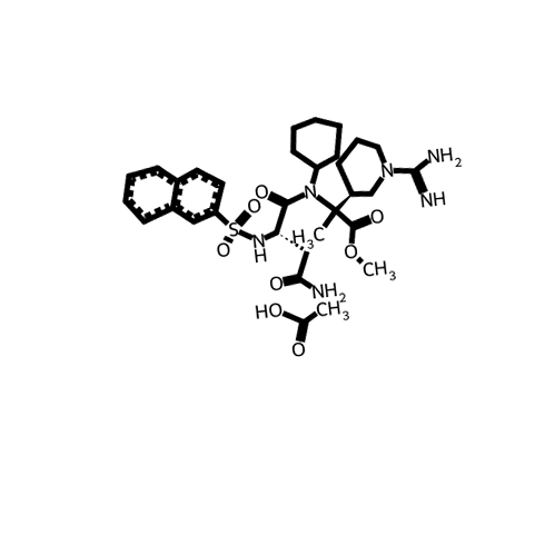 CC(=O)O.COC(=O)C(C)([C@H]1CCCN(C(=N)N)C1)N(C(=O)[C@H](CC(N)=O)NS(=O)(=O)c1ccc2ccccc2c1)C1CCCCC1